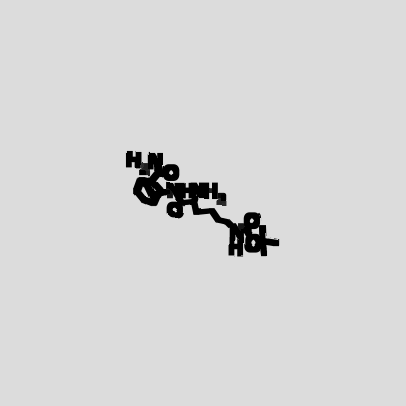 CC(C)(C)OC(=O)NCCCCC(N)C(=O)NC1C2CCC(CC2)C1C(N)=O